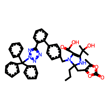 CCCC1(Cc2oc(=O)oc2C)NC(C(C)(C)O)=C(C(=O)O)N1Cc1ccc(-c2ccccc2-c2nnn(C(c3ccccc3)(c3ccccc3)c3ccccc3)n2)cc1